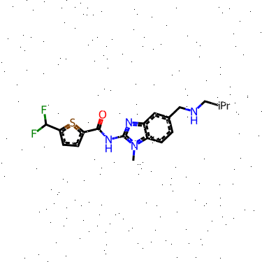 CC(C)CNCc1ccc2c(c1)nc(NC(=O)c1ccc(C(F)F)s1)n2C